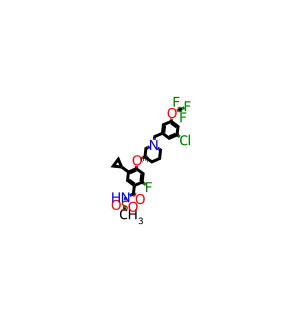 CS(=O)(=O)NC(=O)c1cc(C2CC2)c(O[C@@H]2CCCN(Cc3cc(Cl)cc(OC(F)(F)F)c3)C2)cc1F